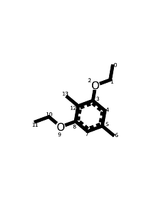 CCOc1cc(C)cc(OCC)c1C